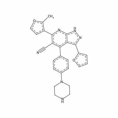 Cc1occc1-c1nc2[nH]nc(-c3ccco3)c2c(-c2ccc(N3CCNCC3)cc2)c1C#N